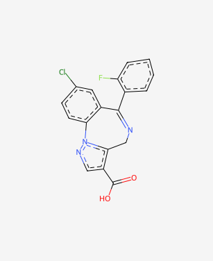 O=C(O)c1cnn2c1CN=C(c1ccccc1F)c1cc(Cl)ccc1-2